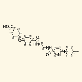 CC1CCN(c2ccc(C(=O)NCCNC(=O)c3ccc(O[C@H]4CC[C@@H](C(=O)O)CC4)cc3)cn2)CC1